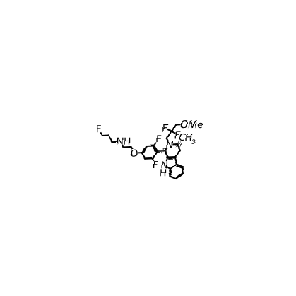 COCC(F)(F)CN1[C@H](c2c(F)cc(OCCNCCCF)cc2F)c2[nH]c3ccccc3c2C[C@H]1C